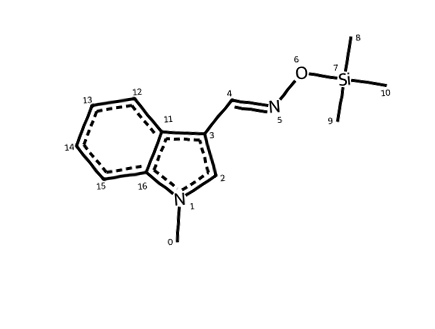 Cn1cc(/C=N/O[Si](C)(C)C)c2ccccc21